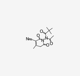 CC(=O)N(C(=O)C(C)(C)C)N1C(=O)CC(C)=C(C#N)C1=O